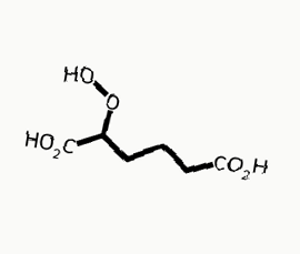 O=C(O)CCCC(OO)C(=O)O